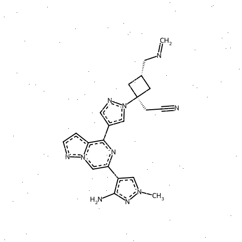 C=NC[C@H]1C[C@](CC#N)(n2cc(-c3nc(-c4cn(C)nc4N)cn4nccc34)cn2)C1